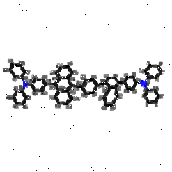 c1ccc(N(c2ccccc2)c2ccc(-c3ccc(-c4ccc(-c5c6ccccc6c(-c6ccc(N(c7ccccc7)c7ccccc7)cc6)c6ccccc56)cc4)c4ccccc34)cc2)cc1